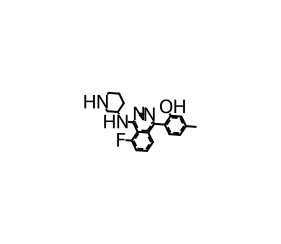 Cc1ccc(-c2nnc(N[C@@H]3CCCNC3)c3c(F)cccc23)c(O)c1